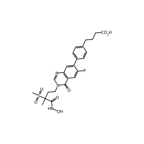 CC(CCn1cnc2cc(-c3ccc(CCCC(=O)O)cc3)c(F)cc2c1=O)(C(=O)NO)S(C)(=O)=O